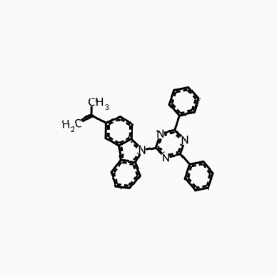 C=C(C)c1ccc2c(c1)c1ccccc1n2-c1nc(-c2ccccc2)nc(-c2ccccc2)n1